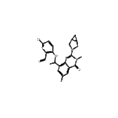 Cc1cc(C(C)Nc2ccc(Cl)nc2C=O)c2nc(N3CC4CC4C3)n(C)c(=O)c2c1